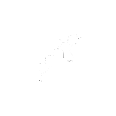 COC(=O)c1ccc(CCC=C(C(=O)c2ccc(F)cc2)c2ccccc2)cc1